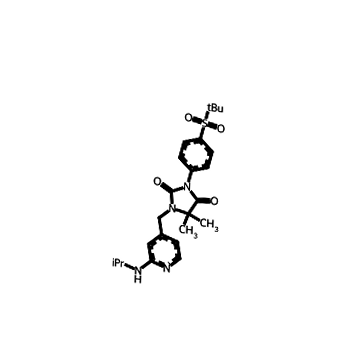 CC(C)Nc1cc(CN2C(=O)N(c3ccc(S(=O)(=O)C(C)(C)C)cc3)C(=O)C2(C)C)ccn1